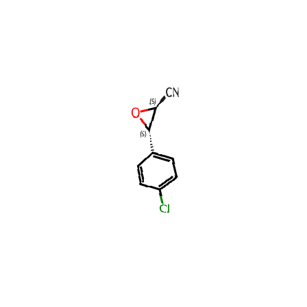 N#C[C@@H]1O[C@H]1c1ccc(Cl)cc1